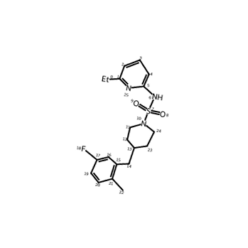 CCc1cccc(NS(=O)(=O)N2CCC(Cc3cc(F)ccc3C)CC2)n1